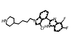 Fc1ccc2[nH]c(-c3cccc4c3c(Cl)cn4CCCCC3CCNCC3)nc2c1F